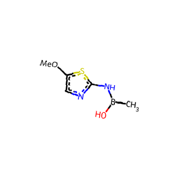 COc1cnc(NB(C)O)s1